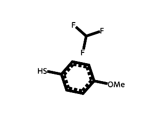 COc1ccc(S)cc1.FC(F)F